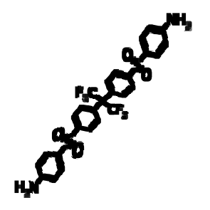 Nc1ccc(S(=O)(=O)c2ccc(C(c3ccc(S(=O)(=O)c4ccc(N)cc4)cc3)(C(F)(F)F)C(F)(F)F)cc2)cc1